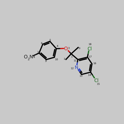 CC(C)(Oc1ccc([N+](=O)[O-])cc1)c1ncc(Cl)cc1Cl